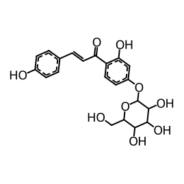 O=C(/C=C/c1ccc(O)cc1)c1ccc(OC2OC(CO)C(O)C(O)C2O)cc1O